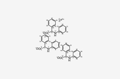 O=C([O-])C(Nc1ccccc1)c1ccccc1.O=C([O-])C(Nc1ccccc1)c1ccccc1.O=C([O-])C(Nc1ccccc1)c1ccccc1.[La+3]